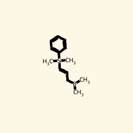 CB(C)CC=C[Si](C)(C)c1ccccc1